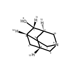 O[C@@H]1[C@@H]2C[C@H]3C[C@H]1CN(C3)C2